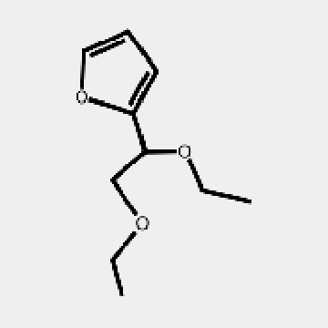 CCOCC(OCC)c1ccco1